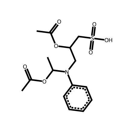 CC(=O)OC(CN(c1ccccc1)C(C)OC(C)=O)CS(=O)(=O)O